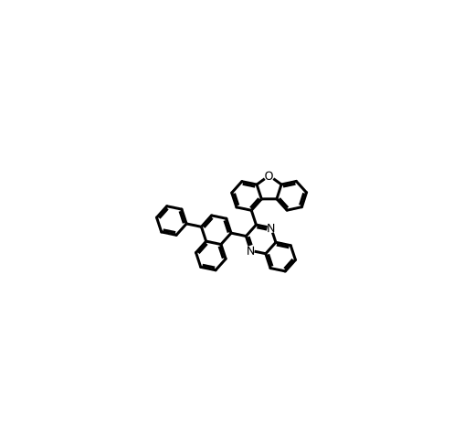 c1ccc(-c2ccc(-c3nc4ccccc4nc3-c3cccc4oc5ccccc5c34)c3ccccc23)cc1